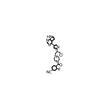 N#Cc1ccc(C(=O)N2CCN(CC(CCl)n3cc(-c4ncnc5[nH]ccc45)cn3)CC2)c(F)c1